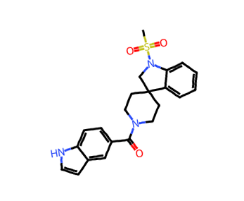 CS(=O)(=O)N1CC2(CCN(C(=O)c3ccc4[nH]ccc4c3)CC2)c2ccccc21